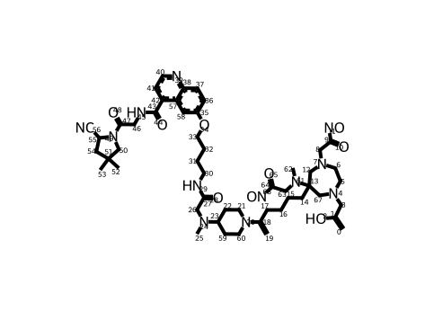 C=C(O)CN1CCN(CC(=O)N=O)CC(CCCCC(=C)N2CCC(N(C)CC(=O)NCCCCOc3ccc4nccc(C(=O)NCC(=O)N5CC(C)(C)CC5C#N)c4c3)CC2)(N(C)CC(=O)N=O)C1